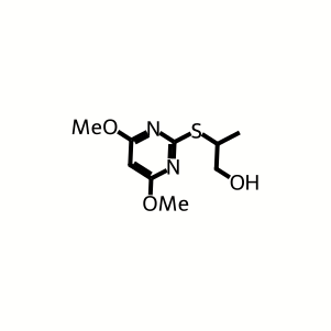 COc1cc(OC)nc(SC(C)CO)n1